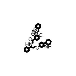 CS(=O)(=O)N(Cc1ccccc1)c1cc(C(=O)CNC(CCOc2ccc3c4c([nH]c3c2)CCCC4)c2ccccc2)ccc1Cl